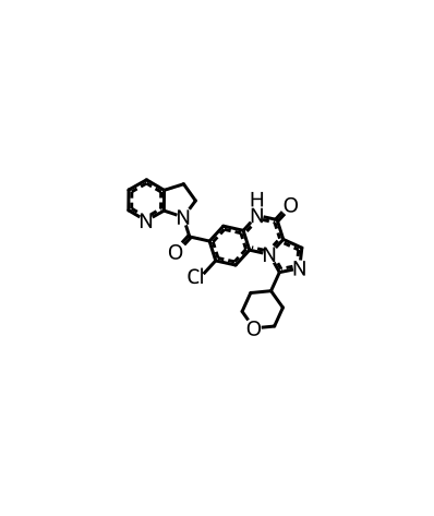 O=C(c1cc2[nH]c(=O)c3cnc(C4CCOCC4)n3c2cc1Cl)N1CCc2cccnc21